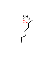 CCCCCC(C)O[SiH3]